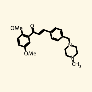 COc1ccc(OC)c(C(=O)C=Cc2ccc(CN3CCN(C)CC3)cc2)c1